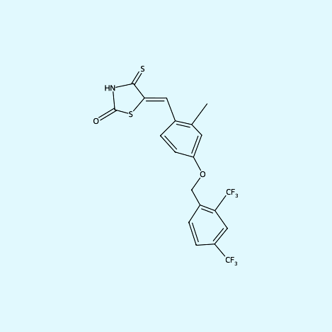 Cc1cc(OCc2ccc(C(F)(F)F)cc2C(F)(F)F)ccc1/C=C1\SC(=O)NC1=S